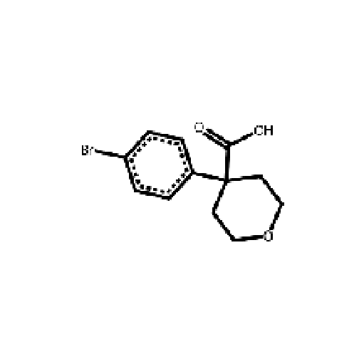 O=C(O)C1(c2ccc(Br)cc2)CCOCC1